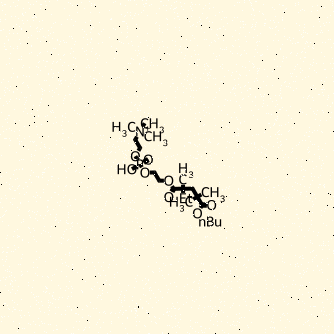 CCCCOC(=O)C(C)(C)CC(C)(CC)C(=O)OCCOP(=O)(O)OCC[N+](C)(C)C